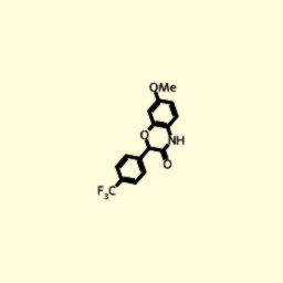 COc1ccc2c(c1)OC(c1ccc(C(F)(F)F)cc1)C(=O)N2